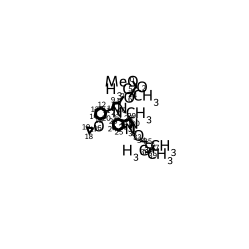 COC(=O)C(C)(C)OCc1cc(-c2cccc(OC3CC3)c2)n(-c2cccc3c2c(C)nn3COCC[Si](C)(C)C)n1